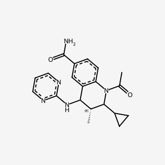 CC(=O)N1c2ccc(C(N)=O)cc2C(Nc2ncccn2)[C@@H](C)C1C1CC1